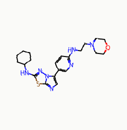 c1cc(NCCN2CCOCC2)ncc1-c1cnc2sc(NC3CCCCC3)nn12